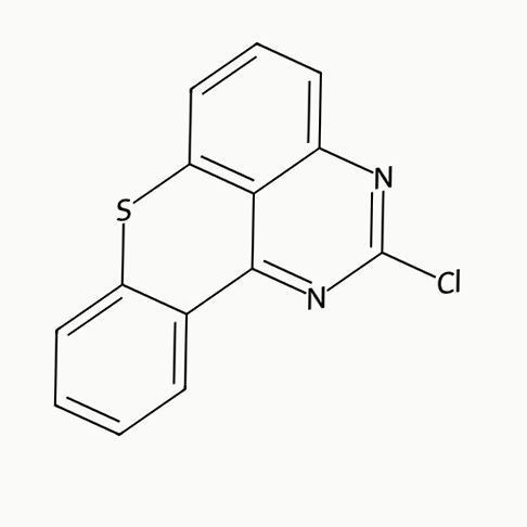 Clc1nc2c3c(cccc3n1)Sc1ccccc1-2